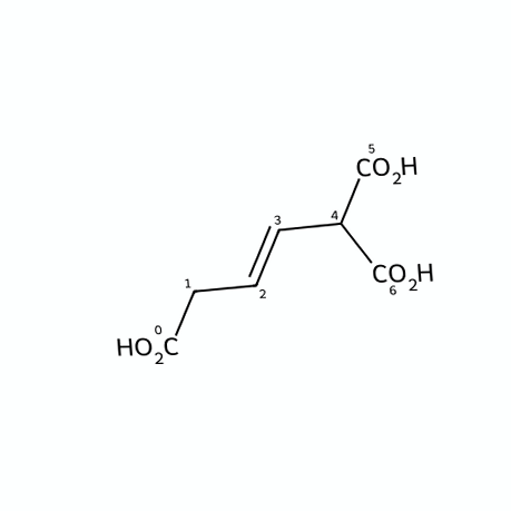 O=C(O)CC=CC(C(=O)O)C(=O)O